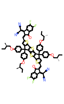 CC[C@@H](C)COc1ccc(C2(c3ccc(OC[C@H](C)CC)cc3)c3cc(/C=C4\C(=O)c5cc(F)c(F)cc5C4=C(C#N)C#N)sc3-c3sc4c5c(sc4c32)-c2sc(/C=C3\C(=O)c4cc(F)c(F)cc4C3=C(C#N)C#N)cc2C5(c2ccc(OC[C@@H](C)CC)cc2)c2ccc(OC[C@@H](C)CC)cc2)cc1